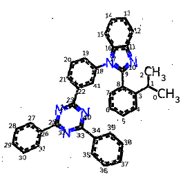 CC(C)c1ccccc1-c1nc2ccccc2n1-c1cccc(-c2nc(-c3ccccc3)nc(-c3ccccc3)n2)c1